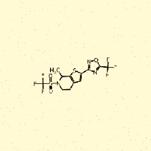 CC1c2sc(-c3noc(C(F)(F)F)n3)cc2CCN1S(=O)(=O)C(F)(F)F